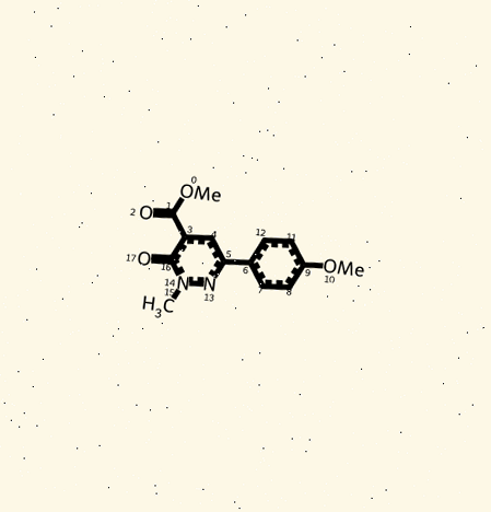 COC(=O)c1cc(-c2ccc(OC)cc2)nn(C)c1=O